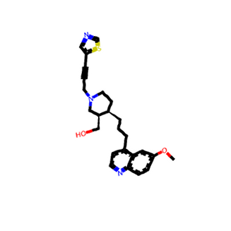 COc1ccc2nccc(CCC[C@@H]3CCN(CC#Cc4cncs4)C[C@@H]3CO)c2c1